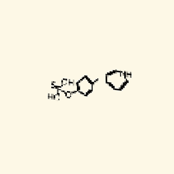 C1=CC=CNC=C1.Cc1ccc(OP(O)(O)=S)cc1